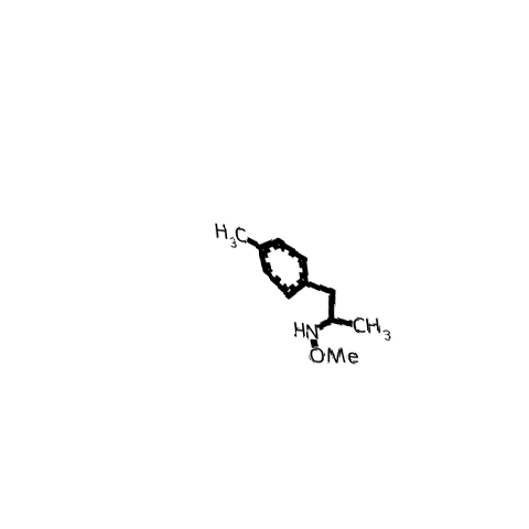 CONC(C)Cc1ccc(C)cc1